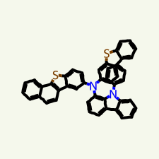 c1ccc(-n2c3ccccc3c3cccc(N(c4ccc5c(c4)sc4ccccc45)c4ccc5sc6c7ccccc7ccc6c5c4)c32)cc1